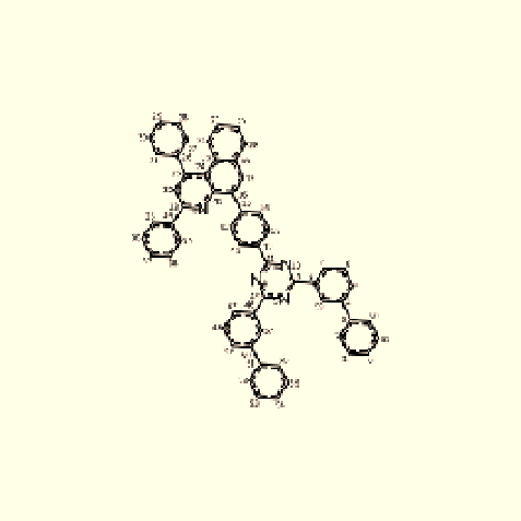 c1ccc(-c2cccc(-c3nc(-c4ccc(-c5cc6ccccc6c6c(-c7ccccc7)cc(-c7ccccc7)nc56)cc4)nc(-c4cccc(-c5ccccc5)c4)n3)c2)cc1